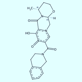 C[C@@H]1CCO[C@H]2Cn3cc(C(=O)N4CCc5ccccc5C4)c(=O)c(O)c3C(=O)N12